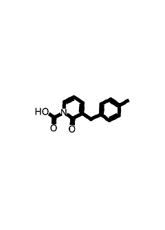 Cc1ccc(Cc2cccn(C(=O)O)c2=O)cc1